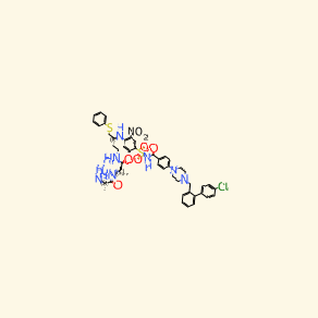 C[C@H](N)C(=O)N[C@@H](C)C(=O)NCC[C@H](CSc1ccccc1)Nc1ccc(S(=O)(=O)NC(=O)c2ccc(N3CCN(Cc4ccccc4-c4ccc(Cl)cc4)CC3)cc2)cc1[N+](=O)[O-]